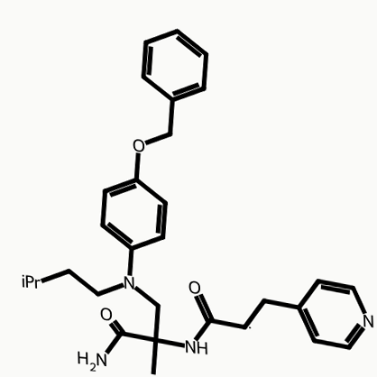 CC(C)CCN(CC(C)(NC(=O)[CH]Cc1ccncc1)C(N)=O)c1ccc(OCc2ccccc2)cc1